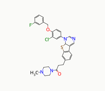 CN1CCN(C(=O)CCc2ccc3c(c2)SC2C3=CN=CN2c2ccc(OCc3cccc(F)c3)c(Cl)c2)CC1